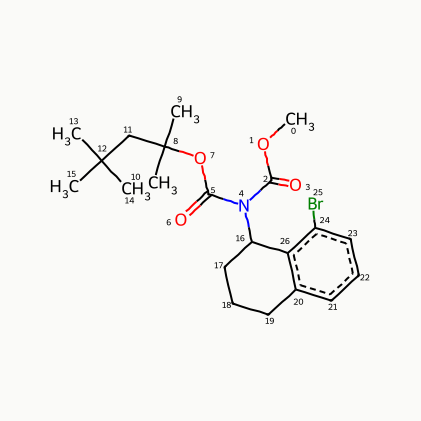 COC(=O)N(C(=O)OC(C)(C)CC(C)(C)C)C1CCCc2cccc(Br)c21